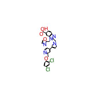 O=C(O)c1ccc2nc(CN3CC=C(c4ccnc(COc5ccc(Cl)cc5Cl)c4)C3)n(Cc3ncco3)c2c1